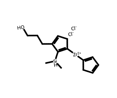 C[SiH](C)C1=[C]([Zr+2][C]2=CC=CC2)CC=C1CCCO.[Cl-].[Cl-]